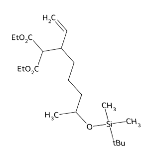 C=CC(CCCC(C)O[Si](C)(C)C(C)(C)C)C(C(=O)OCC)C(=O)OCC